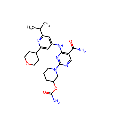 CC(C)c1cc(Nc2nc(N3CCCC(OC(N)=O)C3)ncc2C(N)=O)cc(C2CCOCC2)n1